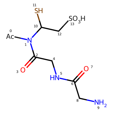 CC(=O)N(C(=O)CNC(=O)CN)C(S)CS(=O)(=O)O